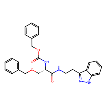 O=C(N[C@@H](COCc1ccccc1)C(=O)NCCc1n[nH]c2ccccc12)OCc1ccccc1